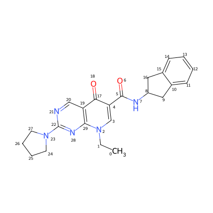 CCn1cc(C(=O)NC2Cc3ccccc3C2)c(=O)c2cnc(N3CCCC3)nc21